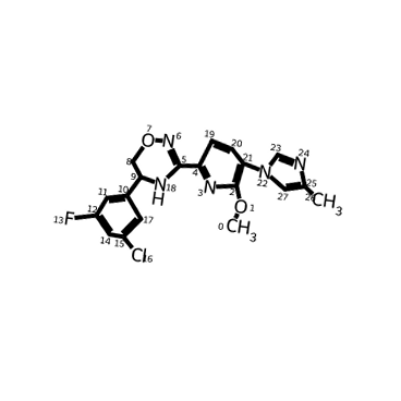 COc1nc(C2=NOCC(c3cc(F)cc(Cl)c3)N2)ccc1-n1cnc(C)c1